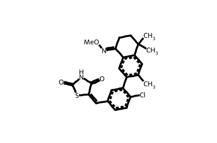 CON=C1CCC(C)(C)c2cc(C)c(-c3cc(C=C4SC(=O)NC4=O)ccc3Cl)cc21